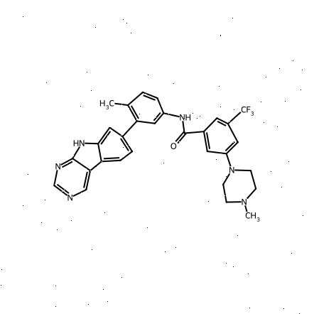 Cc1ccc(NC(=O)c2cc(N3CCN(C)CC3)cc(C(F)(F)F)c2)cc1-c1ccc2c(c1)[nH]c1ncncc12